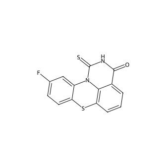 O=c1[nH]c(=S)n2c3c(cccc13)Sc1ccc(F)cc1-2